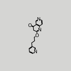 O=C1CC(OCCCc2cccnc2)=Nc2ccncc21